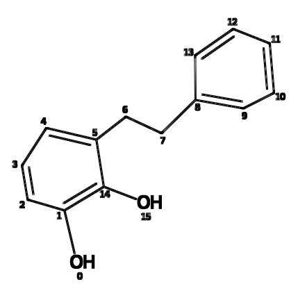 Oc1cccc(CCc2ccccc2)c1O